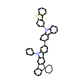 c1ccc(-n2c3cc(-c4ccc5c(c4)c4ccccc4n5-c4ccc5sc6ccccc6c5c4)ccc3c3cc4c(cc32)-c2ccccc2C42CCCCC2)cc1